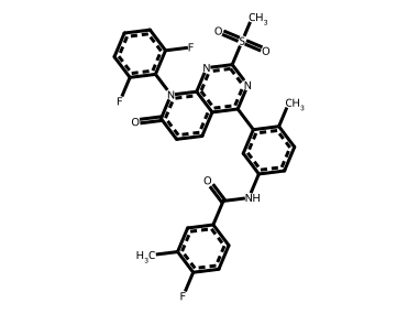 Cc1cc(C(=O)Nc2ccc(C)c(-c3nc(S(C)(=O)=O)nc4c3ccc(=O)n4-c3c(F)cccc3F)c2)ccc1F